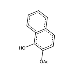 CC(=O)Oc1ccc2ccccc2c1O